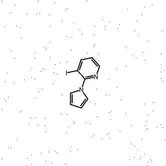 Ic1cccnc1-n1cccc1